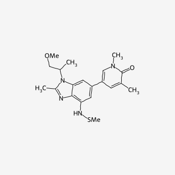 COCC(C)n1c(C)nc2c(NSC)cc(-c3cc(C)c(=O)n(C)c3)cc21